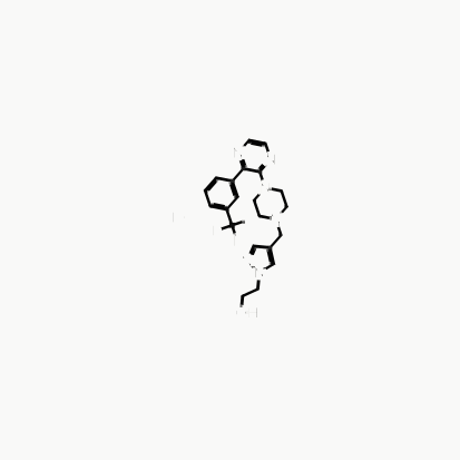 Cl.OCCn1cc(CN2CCN(c3nccnc3-c3cccc(C(F)(F)F)c3)CC2)cn1